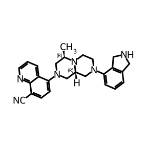 C[C@@H]1CN(c2ccc(C#N)c3ncccc23)C[C@H]2CN(c3cccc4c3CNC4)CCN21